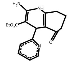 CCOC(=O)C1=C(N)NC2=C(C(=O)CCC2)C1c1ccccn1